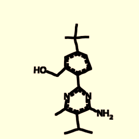 Cc1nc(-c2ccc(C(C)(C)C)cc2CO)nc(N)c1C(C)C